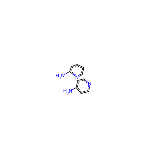 Nc1ccccn1.Nc1ccncc1